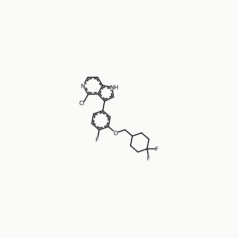 Fc1ccc(-c2c[nH]c3ccnc(Cl)c23)cc1OCC1CCC(F)(F)CC1